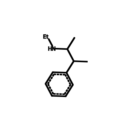 CCNC(C)C(C)c1ccccc1